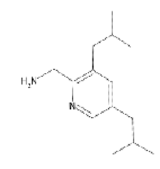 CC(C)Cc1cnc(CN)c(CC(C)C)c1